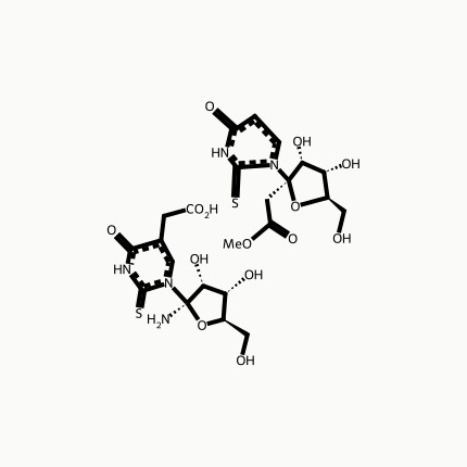 COC(=O)C[C@@]1(n2ccc(=O)[nH]c2=S)O[C@H](CO)[C@@H](O)[C@H]1O.N[C@@]1(n2cc(CC(=O)O)c(=O)[nH]c2=S)O[C@H](CO)[C@@H](O)[C@H]1O